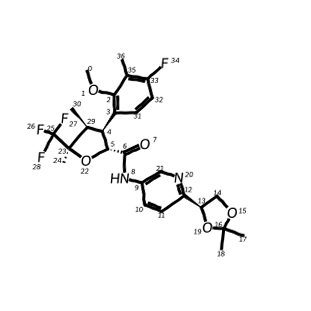 COc1c([C@H]2[C@H](C(=O)Nc3ccc([C@H]4COC(C)(C)O4)nc3)O[C@@](C)(C(F)(F)F)[C@H]2C)ccc(F)c1C